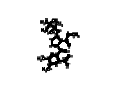 COC(=O)[C@@H]1[C@@H](O[Si](C)(C)C(C)(C)C)CCN1C(=O)c1cc(C)c(C)cc1[N+](=O)[O-]